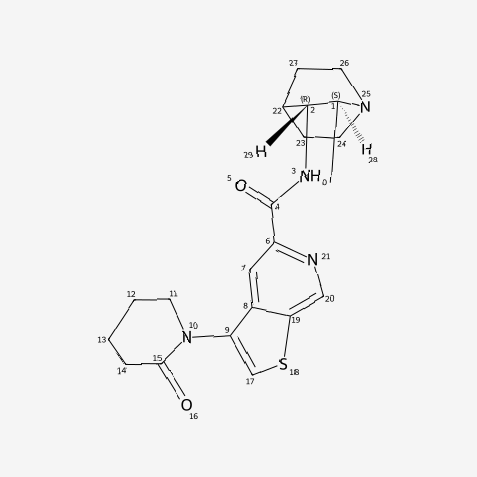 C[C@H]1[C@H](NC(=O)c2cc3c(N4CCCCC4=O)csc3cn2)C2CCN1CC2